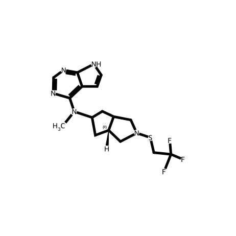 CN(c1ncnc2[nH]ccc12)C1CC2CN(SCC(F)(F)F)C[C@@H]2C1